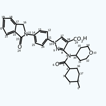 CC1CCC(C(=O)N(c2nn(-c3ccc(N4Cc5ccccc5C4=O)cc3)cc2C(=O)O)C2CCOCC2)CC1